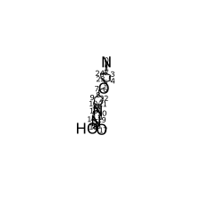 N#Cc1ccc(OCC2CCC(N3CCN(C(=O)O)CC3)CC2)cc1